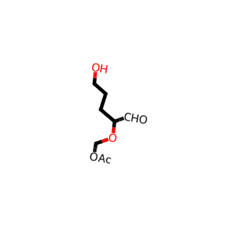 CC(=O)OCOC(C=O)CCCO